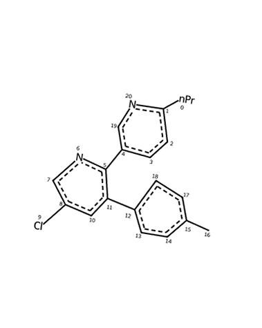 CCCc1ccc(-c2ncc(Cl)cc2-c2ccc(C)cc2)cn1